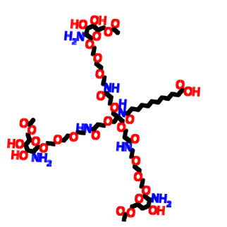 CC(=O)OCC1CC(O)C(N)C(OCCOCCOCCNC(=O)CCOCC(COCCC(=O)NCCOCCOCCOC2OC(COC(C)=O)C(O)C(O)C2N)(COCCC(=O)NCCOCCOCCOC2OC(COC(C)=O)C(O)C(O)C2N)NC(=O)CCCCCCCCCCC(=O)O)O1